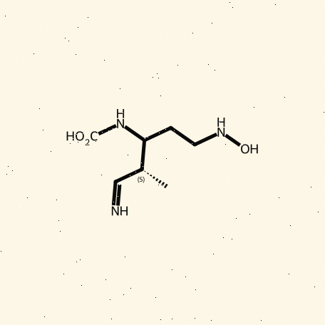 C[C@H](C=N)C(CCNO)NC(=O)O